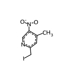 Cc1cc(CI)ncc1[N+](=O)[O-]